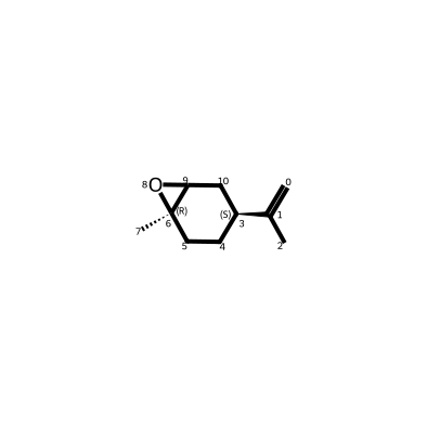 C=C(C)[C@H]1CC[C@@]2(C)OC2C1